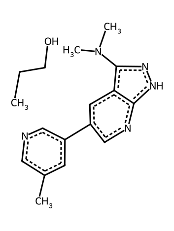 CCCO.Cc1cncc(-c2cnc3[nH]nc(N(C)C)c3c2)c1